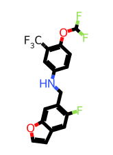 Fc1cc2ccoc2cc1CNc1ccc(OC(F)F)c(C(F)(F)F)c1